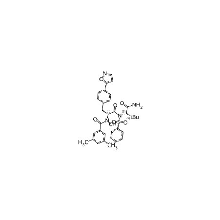 CC[C@H](C)[C@@H](C(N)=O)N(C(=O)[C@H](Cc1ccc(-c2ccno2)cc1)N(C)C(=O)c1cc(C)cc(C)c1)S(=O)(=O)c1ccccc1